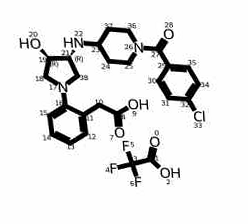 O=C(O)C(F)(F)F.O=C(O)Cc1ccccc1N1C[C@@H](O)[C@H](NC2CCN(C(=O)c3ccc(Cl)cc3)CC2)C1